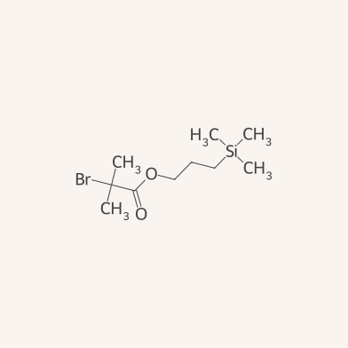 CC(C)(Br)C(=O)OCCC[Si](C)(C)C